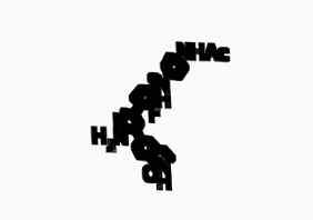 CC(=O)Nc1ccc(NSc2ccc(-c3cnc(N)c(-c4ccc5c(c4)CCNC5=O)c3)c(F)c2)cc1